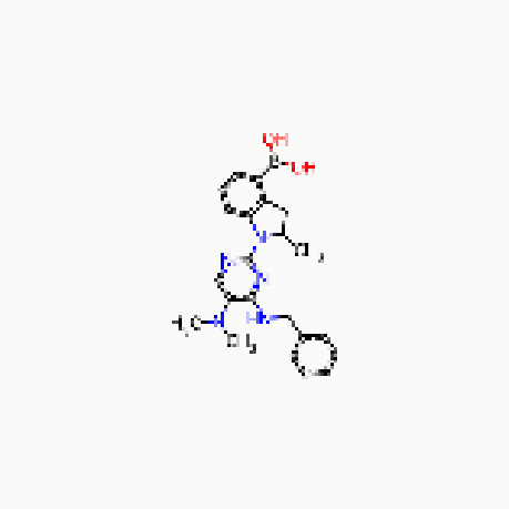 CC1Cc2c(B(O)O)cccc2N1c1ncc(N(C)C)c(NCc2ccccc2)n1